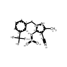 Cc1nn(Cc2cccc(C(F)(F)F)c2)c(N=S(=O)=O)c1C#N